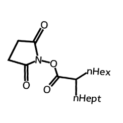 CCCCCCCC(CCCCCC)C(=O)ON1C(=O)CCC1=O